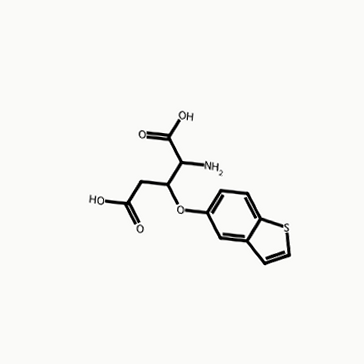 NC(C(=O)O)C(CC(=O)O)Oc1ccc2sccc2c1